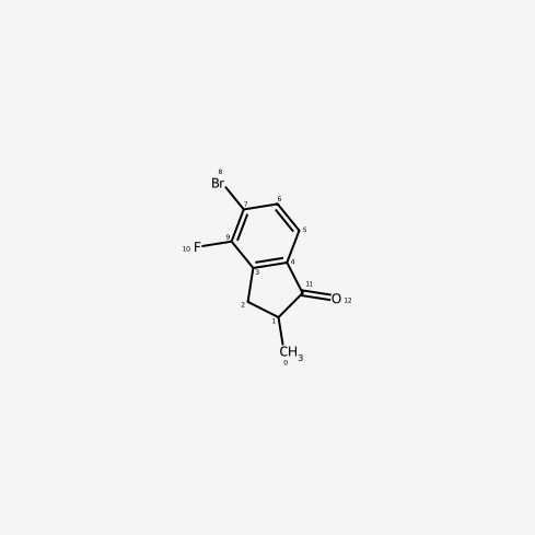 CC1Cc2c(ccc(Br)c2F)C1=O